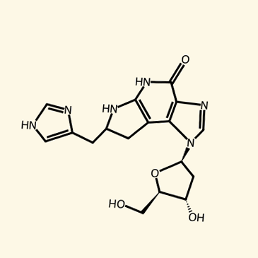 O=c1[nH]c2c(c3c1ncn3[C@H]1C[C@H](O)[C@@H](CO)O1)CC(Cc1c[nH]cn1)N2